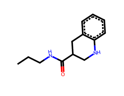 CCCNC(=O)C1CNc2ccccc2C1